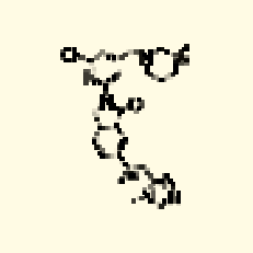 C[C@H]1CCCN(Cc2cc(Cl)nc(N3Cc4ccc([C@H](C)Cc5nncn5C)cc4C3=O)c2)C1